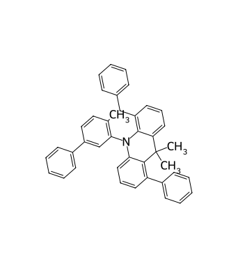 Cc1ccc(-c2ccccc2)cc1N1c2cccc(-c3ccccc3)c2C(C)(C)c2cccc(Cc3ccccc3)c21